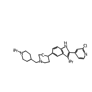 CC(C)c1c(-c2ccnc(Cl)c2)[nH]c2ccc(C3CCN(CC4CCN(C(C)C)CC4)CC3)cc12